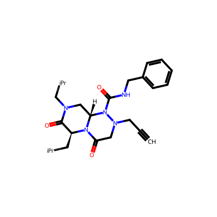 C#CCN1CC(=O)N2[C@@H](CC(C)C)C(=O)N(CC(C)C)C[C@@H]2N1C(=O)NCc1ccccc1